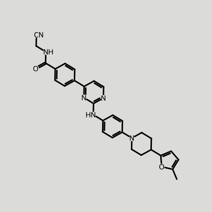 Cc1ccc(C2CCN(c3ccc(Nc4nccc(-c5ccc(C(=O)NCC#N)cc5)n4)cc3)CC2)o1